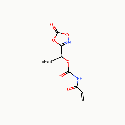 C=CC(=O)NC(=O)OC(CCCCC)c1noc(=O)o1